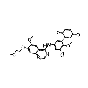 COCCOc1cc2ncnc(Nc3cc(Cl)c(OC)c(C4=CC(=O)C=CC4=O)c3)c2cc1OC